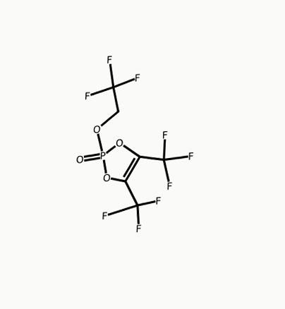 O=P1(OCC(F)(F)F)OC(C(F)(F)F)=C(C(F)(F)F)O1